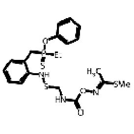 CCP(=S)(Cc1ccccc1NSCNC(=O)ON=C(C)SC)Oc1ccccc1